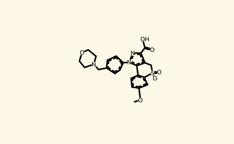 COc1ccc2c(c1)S(=O)(=O)Cc1c(C(=O)O)nn(-c3ccc(CN4CCOCC4)cc3)c1-2